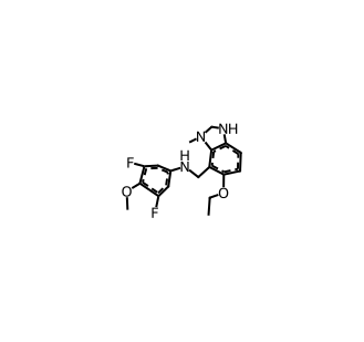 CCOc1ccc2c(c1CNc1cc(F)c(OC)c(F)c1)N(C)CN2